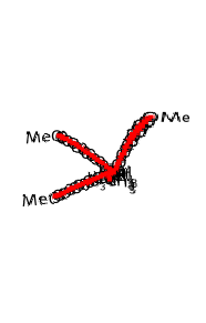 COCCOCCOCCOCCOCCOCCOCCOCCOCCOCCOCCC[SiH](C)O[Si](C)(CCCOCCOCCOCCOCCOCCOCCOCCOCCOCCOCCOC)O[Si](C)(CCCOCCOCCOCCOCCOCCOCCOCCOCCOCCOCCOC)O[Si](C)(C)C